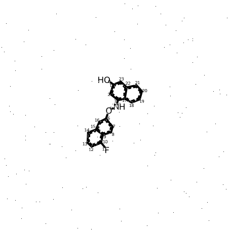 Oc1cc(NOc2ccc3c(F)cccc3c2)c2ccccc2c1